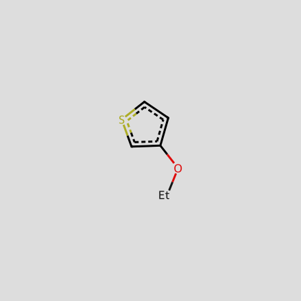 CCOc1ccsc1